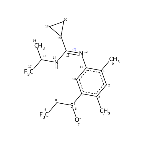 Cc1cc(C)c([S+]([O-])CC(F)(F)F)cc1/N=C(\NC(C)C(F)(F)F)C1CC1